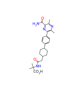 Cc1nc(C)c(-c2ccc(C3CCC(CC(=O)NC(C)(C)C(=O)O)CC3)cc2)nc1C(N)=O